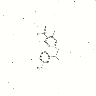 Cc1cc(CC(C)c2cccc(N)c2)ccc1[N+](=O)[O-]